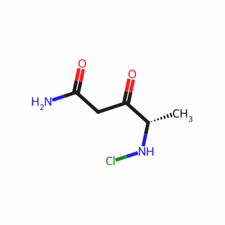 C[C@H](NCl)C(=O)CC(N)=O